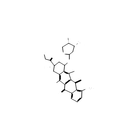 COc1cccc2c1C(=O)c1c(O)c3c(c(O)c1C2=O)C[C@@](O)(C(=O)CO)CC3OC1C[C@H](N)[C@H](O)CO1